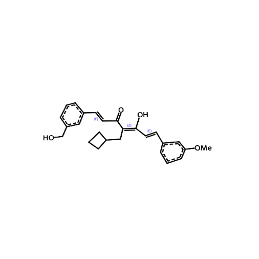 COc1cccc(/C=C/C(O)=C(\CC2CCC2)C(=O)/C=C/c2cccc(CO)c2)c1